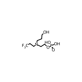 O=P(O)(O)OCCN(CCCO)CCC(F)(F)F